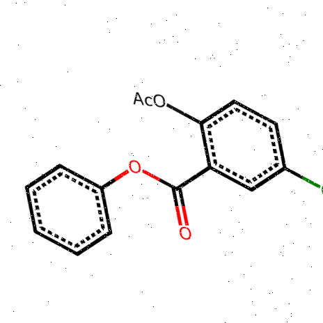 CC(=O)Oc1ccc(Cl)cc1C(=O)Oc1ccccc1